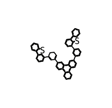 C1=C(c2ccc3c4ccccc4c4ccc(-c5cccc(-c6cccc7c6sc6ccccc67)c5)cc4c3c2)C=C(c2cccc3c2sc2ccccc23)CC1